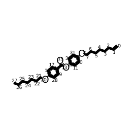 C=CCCCCCCOc1ccc(OC(=O)c2ccc(OCCCCCCC)cc2)cc1